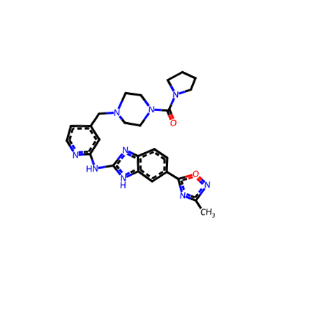 Cc1noc(-c2ccc3nc(Nc4cc(CN5CCN(C(=O)N6CCCC6)CC5)ccn4)[nH]c3c2)n1